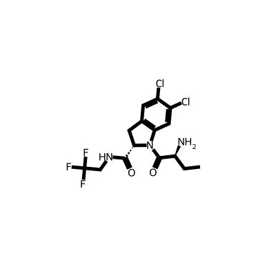 CC[C@H](N)C(=O)N1c2cc(Cl)c(Cl)cc2C[C@H]1C(=O)NCC(F)(F)F